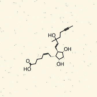 CC#CCCC(C)(O)/C=C/[C@@H]1[C@@H](C/C=C\CCCC(=O)O)[C@@H](O)C[C@H]1O